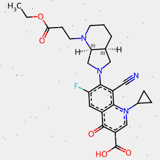 CCOC(=O)CCN1CCC[C@H]2CN(c3c(F)cc4c(=O)c(C(=O)O)cn(C5CC5)c4c3C#N)C[C@H]21